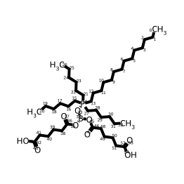 CCCCCCCCCCCCCCP(CCCCCC)(CCCCCC)(CCCCCC)OB(OC(=O)CCCCC(=O)O)OC(=O)CCCCC(=O)O